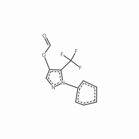 O=COc1cnn(-c2ccccc2)c1C(F)(F)F